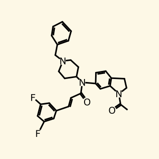 CC(=O)N1CCc2ccc(N(C(=O)C=Cc3cc(F)cc(F)c3)C3CCN(Cc4ccccc4)CC3)cc21